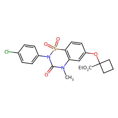 CCOC(=O)C1(Oc2ccc3c(c2)N(C)C(=O)N(c2ccc(Cl)cc2)S3(=O)=O)CCC1